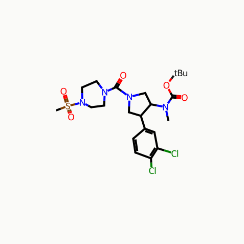 CN(C(=O)OC(C)(C)C)C1CN(C(=O)N2CCN(S(C)(=O)=O)CC2)CC1c1ccc(Cl)c(Cl)c1